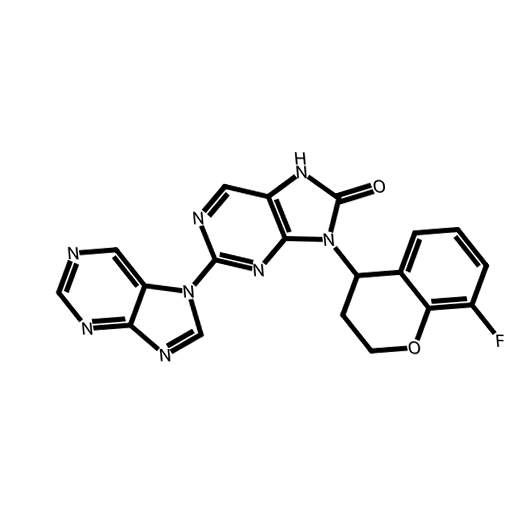 O=c1[nH]c2cnc(-n3cnc4ncncc43)nc2n1C1CCOc2c(F)cccc21